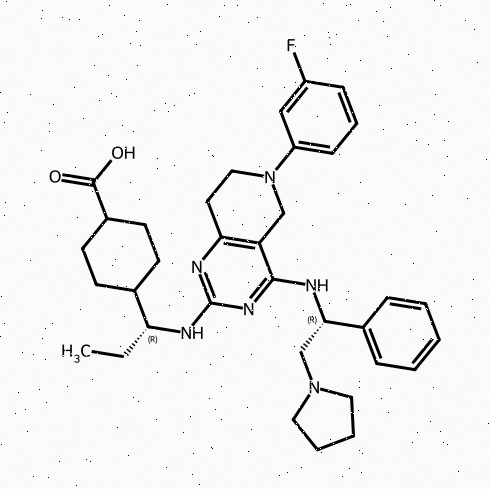 CC[C@@H](Nc1nc2c(c(N[C@@H](CN3CCCC3)c3ccccc3)n1)CN(c1cccc(F)c1)CC2)C1CCC(C(=O)O)CC1